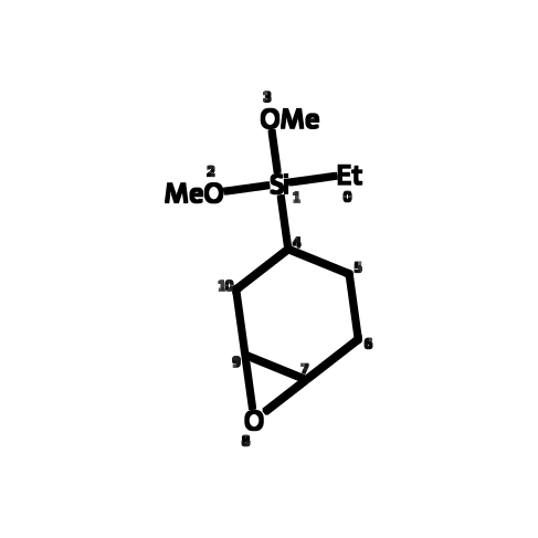 CC[Si](OC)(OC)C1CCC2OC2C1